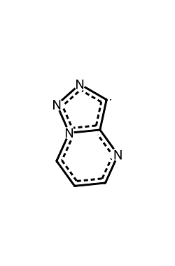 [c]1nnn2cccnc12